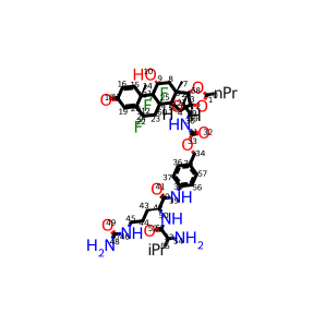 CCCC1O[C@@H]2C[C@@H]3[C@](C)(C[C@H](O)[C@]4(F)[C@@]5(C)C=CC(=O)C=C5[C@@H](F)C[C@@]34F)[C@]2(C(=O)CNC(=O)OCc2ccc(NC(=O)[C@H](CCCNC(N)=O)NC(=O)C(N)C(C)C)cc2)O1